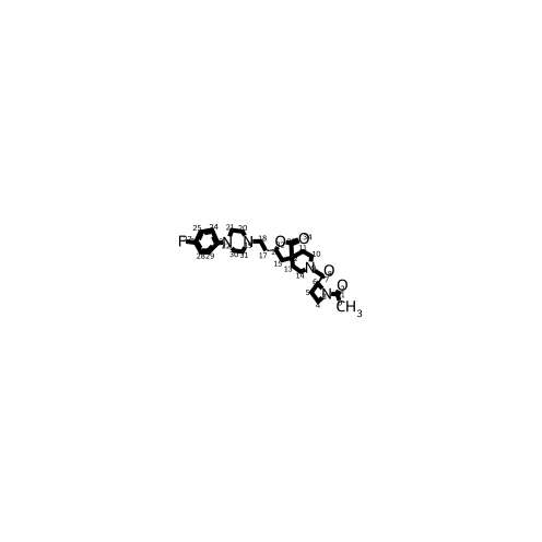 CC(=O)N1CC[C@H]1C(=O)N1CCC2(CC1)C[C@H](CCN1CCN(c3ccc(F)cc3)CC1)OC2=O